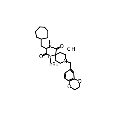 CCCCN1C(=O)C(CC2CCCCCC2)NC(=O)C12CCN(Cc1ccc3c(c1)OCCO3)CC2.Cl